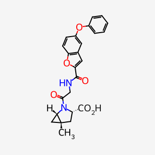 C[C@@]12C[C@@H]1N(C(=O)CNC(=O)c1cc3cc(Oc4ccccc4)ccc3o1)[C@H](C(=O)O)C2